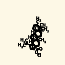 C=C(C)[C@@H]1CC[C@]2(C(=O)OCl)CC[C@]3(C)[C@H](CC[C@@H]4[C@@]5(C)CC[C@H](C)C(C)(C)[C@@H]5CC[C@]43C)[C@@H]12